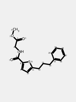 COC(=O)CNC(=O)c1ccc(CCCc2ccccc2)s1